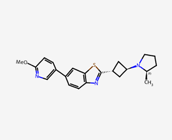 COc1ccc(-c2ccc3nc([C@H]4C[C@H](N5CCC[C@H]5C)C4)sc3c2)cn1